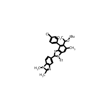 CCN1c2cc(C)c(C(OC(C)(C)C)C(=O)O)c(-c3ccc(Cl)cc3)c2SC1c1ccc2c(c1)nc(C)n2C